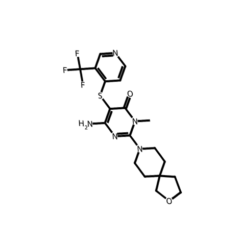 Cn1c(N2CCC3(CCOC3)CC2)nc(N)c(Sc2ccncc2C(F)(F)F)c1=O